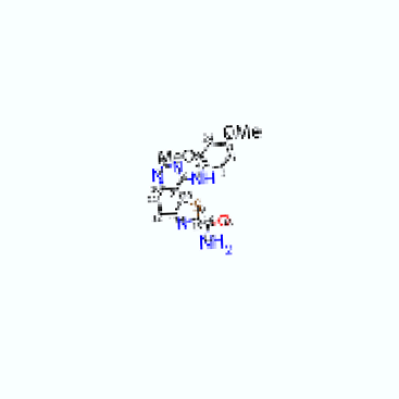 COc1ccc(Nc2ncnc3ccc4nc(C(N)=O)sc4c23)c(OC)c1